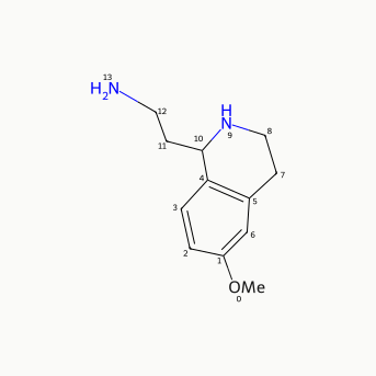 COc1ccc2c(c1)CCNC2CCN